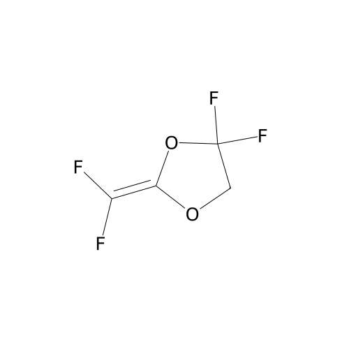 FC(F)=C1OCC(F)(F)O1